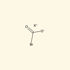 O=C([O-])Br.[K+]